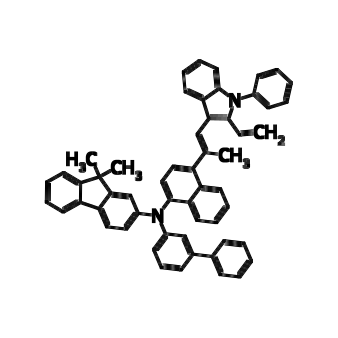 C=Cc1c(/C=C(\C)c2ccc(N(c3cccc(-c4ccccc4)c3)c3ccc4c(c3)C(C)(C)c3ccccc3-4)c3ccccc23)c2ccccc2n1-c1ccccc1